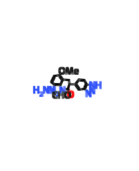 COc1ccc(N(N)C=O)cc1CC(C(N)=O)c1ccc2[nH]nnc2c1